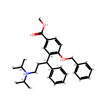 COC(=O)c1ccc(OCc2ccccc2)c(C(CCN(C(C)C)C(C)C)c2ccccc2)c1